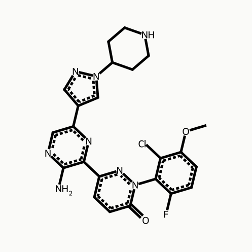 COc1ccc(F)c(-n2nc(-c3nc(-c4cnn(C5CCNCC5)c4)cnc3N)ccc2=O)c1Cl